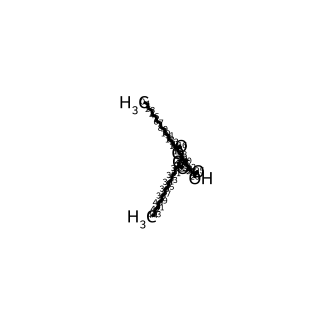 CCCCCCCCCCCCCCCC(=O)OCC(CSCCC(=O)O)OC(=O)CCCCCCCCCCCCCCC